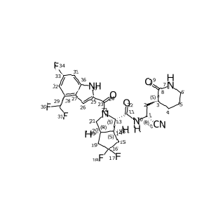 N#C[C@@H](C[C@@H]1CCCNC1=O)NC(=O)[C@@H]1[C@H]2CC(F)(F)C[C@H]2CN1C(=O)c1cc2c(C(F)F)cc(F)cc2[nH]1